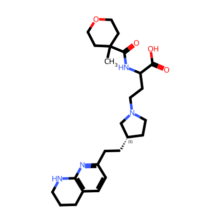 CC1(C(=O)NC(CCN2CC[C@H](CCc3ccc4c(n3)NCCC4)C2)C(=O)O)CCOCC1